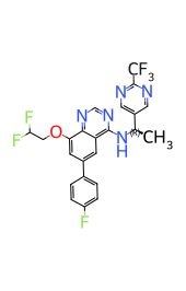 C[C@@H](Nc1ncnc2c(OCC(F)F)cc(-c3ccc(F)cc3)cc12)c1cnc(C(F)(F)F)nc1